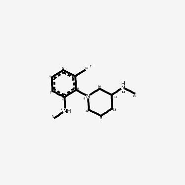 CNc1cccc(F)c1N1CCCC(NC)C1